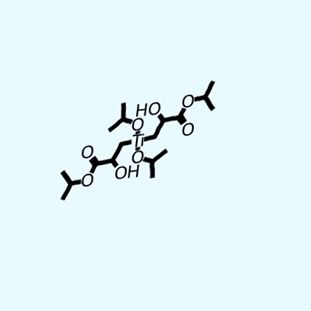 CC(C)OC(=O)C(O)[CH2][Ti]([CH2]C(O)C(=O)OC(C)C)([O]C(C)C)[O]C(C)C